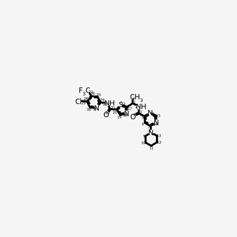 CC(NC(=O)c1cc(N2CCCCC2)ncn1)c1ncc(C(=O)Nc2cc(C(F)(F)F)c(Cl)cn2)s1